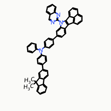 CC1(C)c2ccccc2-c2ccc(-c3ccc(N(c4ccccc4)c4ccc(-c5ccc6c7c(n(-c8ncc9ccccc9n8)c6c5)-c5cccc6cccc-7c56)cc4)cc3)cc21